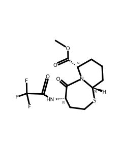 COC(=O)[C@@H]1CCC[C@@H]2SCC[C@H](NC(=O)C(F)(F)F)C(=O)N21